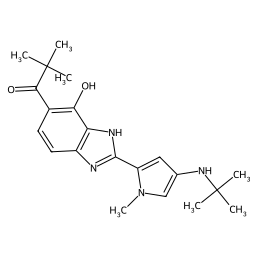 Cn1cc(NC(C)(C)C)cc1-c1nc2ccc(C(=O)C(C)(C)C)c(O)c2[nH]1